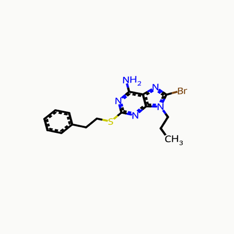 CCCn1c(Br)nc2c(N)nc(SCCc3ccccc3)nc21